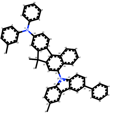 Cc1cccc(N(c2ccccc2)c2ccc3c(c2)C(C)(C)c2cc(-n4c5ccc(C)cc5c5cc(-c6ccccc6)ccc54)c4ccccc4c2-3)c1